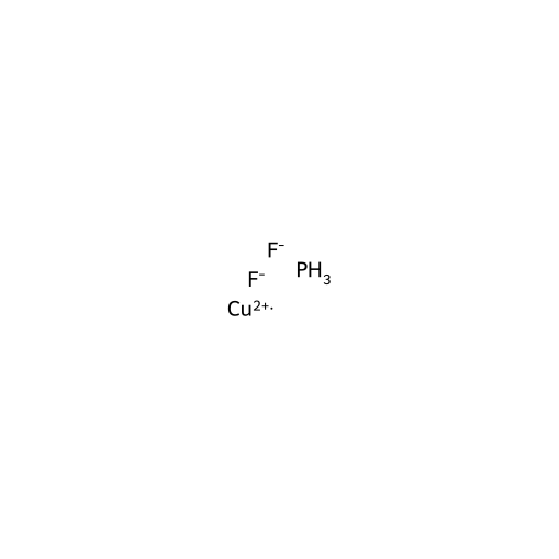 P.[Cu+2].[F-].[F-]